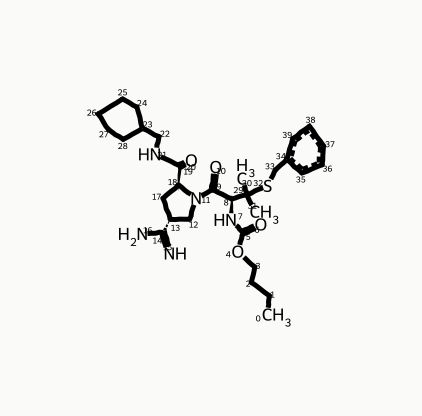 CCCCOC(=O)N[C@@H](C(=O)N1C[C@H](C(=N)N)C[C@H]1C(=O)NCC1CCCCC1)C(C)(C)SCc1ccccc1